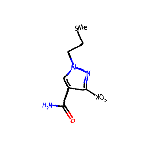 CSCCn1cc(C(N)=O)c([N+](=O)[O-])n1